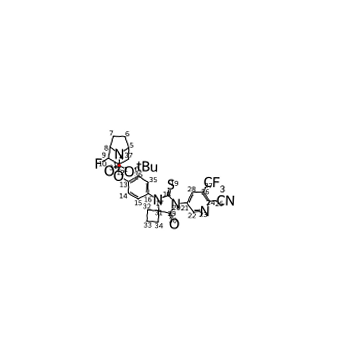 CC(C)(C)OC(=O)N1C2CCC1C(F)C(Oc1ccc(N3C(=S)N(c4cnc(C#N)c(C(F)(F)F)c4)C(=O)C34CCC4)cc1)C2